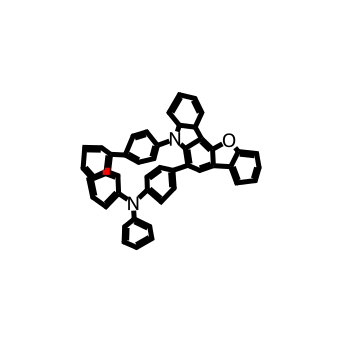 C1=CC2c3c(c(-c4ccc(N(c5ccccc5)c5ccccc5)cc4)cc4c3oc3ccccc34)N(c3ccc(-c4ccccc4)cc3)C2C=C1